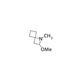 COC1CC2(CCC2)N1C